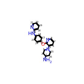 NC1CCN(c2cccnc2Oc2ccc(Nc3ccccn3)cc2)CC1